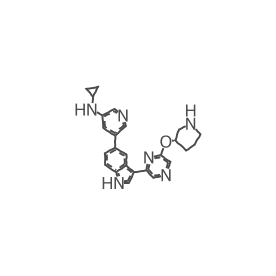 c1ncc(-c2ccc3[nH]cc(-c4cncc(O[C@@H]5CCCNC5)n4)c3c2)cc1NC1CC1